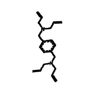 C=CCN(CC=C)Cc1ccc(CN(CC=C)CC=C)cc1